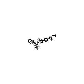 CC(CCn1ccc(-c2ccc(-c3cn(CC4CC4)nn3)cc2)cc1=O)(C(=O)NOC1CCCCO1)[SH](=O)=O